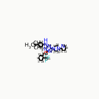 CC(C)(C)c1ccc(Nc2nc(OCc3ccccc3C(F)(F)F)nc(N3CCN(c4ccccn4)CC3)n2)cc1